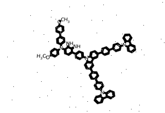 COc1ccc(-c2ccc(N(C3=CC=C(c4ccc(-n5c6ccc(-c7ccc(-c8ccc(-n9c%10ccccc%10c%10ccccc%109)cc8)cc7)cc6c6cc(-c7ccc(-c8ccc(-n9c%10ccccc%10c%10ccccc%109)cc8)cc7)ccc65)cc4)C(=N)C3=N)c3ccc(OC)cc3)cc2)cc1